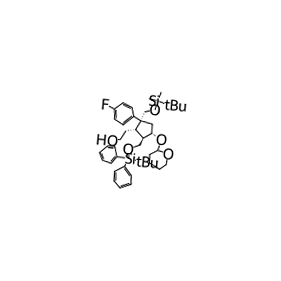 CC(C)(C)[Si](C)(C)OC[C@]1(c2ccc(F)cc2)C[C@H](OC2CCCCO2)[C@@H](CO[Si](c2ccccc2)(c2ccccc2)C(C)(C)C)[C@@H]1CCO